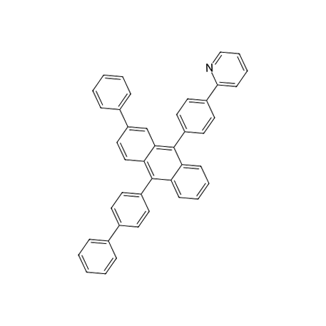 c1ccc(-c2ccc(-c3c4ccccc4c(-c4ccc(-c5ccccn5)cc4)c4cc(-c5ccccc5)ccc34)cc2)cc1